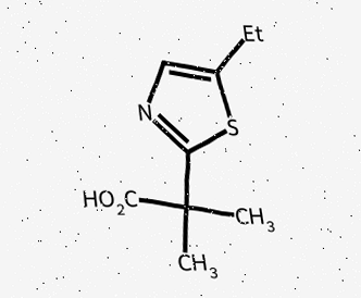 [CH2]Cc1cnc(C(C)(C)C(=O)O)s1